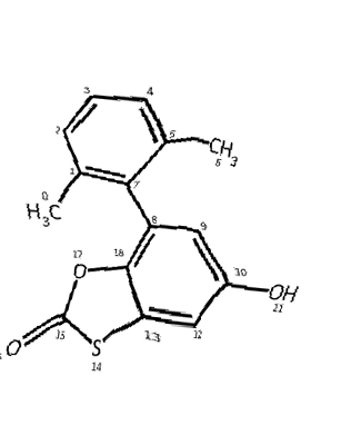 Cc1cccc(C)c1-c1cc(O)cc2sc(=O)oc12